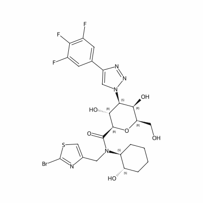 O=C([C@@H]1O[C@H](CO)[C@H](O)[C@H](n2cc(-c3cc(F)c(F)c(F)c3)nn2)[C@H]1O)N(Cc1csc(Br)n1)[C@H]1CCCC[C@@H]1O